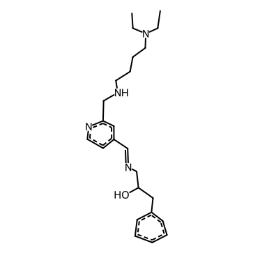 CCN(CC)CCCCNCc1cc(C=NCC(O)Cc2ccccc2)ccn1